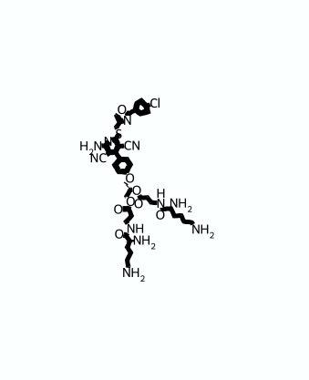 N#Cc1c(N)nc(SCc2coc(-c3ccc(Cl)cc3)n2)c(C#N)c1-c1ccc(OC[C@@H](COC(=O)CCNC(=O)[C@@H](N)CCCCN)OC(=O)CCNC(=O)[C@@H](N)CCCCN)cc1